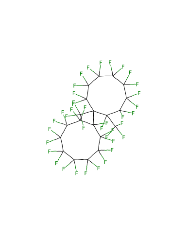 FC(F)(F)C1(F)C(F)(F)C(F)(F)C(F)(F)C(F)(F)C(F)(F)C(F)(F)C(F)(F)C1(C(F)(F)F)C1(F)C(F)(F)C(F)(F)C(F)(F)C(F)(F)C(F)(F)C(F)(F)C(F)(F)C1(F)F